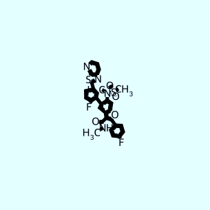 CNC(=O)c1c(-c2ccc(F)cc2)oc2cc(N(C)S(C)(=O)=O)c(-c3cc(-c4nc5cccnc5s4)ccc3F)cc12